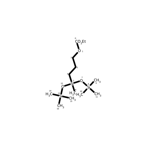 CCOC(=O)OCCC[Si](C)(O[Si](C)(C)C)O[Si](C)(C)C